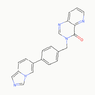 O=c1c2ncccc2ncn1Cc1ccc(-c2ccc3cncn3c2)cc1